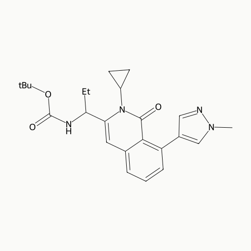 CCC(NC(=O)OC(C)(C)C)c1cc2cccc(-c3cnn(C)c3)c2c(=O)n1C1CC1